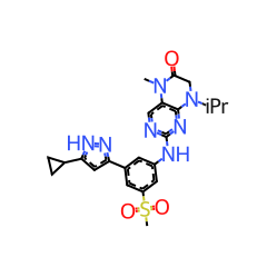 CC(C)N1CC(=O)N(C)c2cnc(Nc3cc(-c4cc(C5CC5)[nH]n4)cc(S(C)(=O)=O)c3)nc21